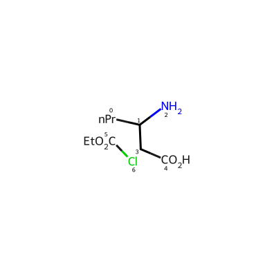 CCCC(N)CC(=O)O.CCOC(=O)Cl